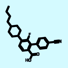 CCCCC1CCC(c2ccc(C(=O)O)c(-c3ccc(C#N)cc3)c2F)CC1